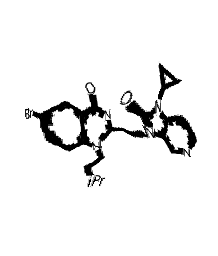 CC(C)CCn1c(Cn2c(=O)n(C3CC3)c3ccncc32)nc(=O)c2cc(Br)ccc21